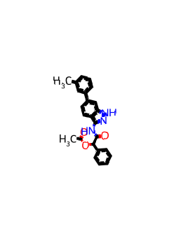 CC(=O)OC(C(=O)Nc1n[nH]c2cc(-c3cccc(C)c3)ccc12)c1ccccc1